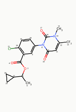 CC(OC(=O)c1cc(-n2c(=O)cc(C(F)(F)F)n(C)c2=O)ccc1Cl)C1CC1